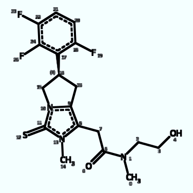 CN(CCO)C(=O)Cc1c2n(c(=S)n1C)C[C@@H](c1c(F)ccc(F)c1F)C2